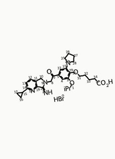 Br.CC(C)Oc1cc(C(=O)CN2Cc3ccc(C4CC4)nc3C2=N)cc(N2CCCC2)c1OCCCCC(=O)O